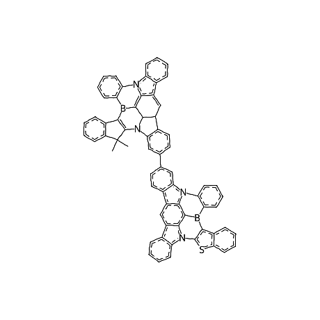 CC1(C)C2=C(B3C4=c5c(c6ccccc6n5-c5ccccc53)=CC3c5ccc(-c6ccc7c8cc9c%10ccccc%10n%10c9c9c8n(c7c6)-c6ccccc6B9c6c-%10sc7ccccc67)cc5N2C43)c2ccccc21